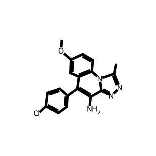 COc1ccc2c(c1)c(-c1ccc(Cl)cc1)c(N)c1nnc(C)n12